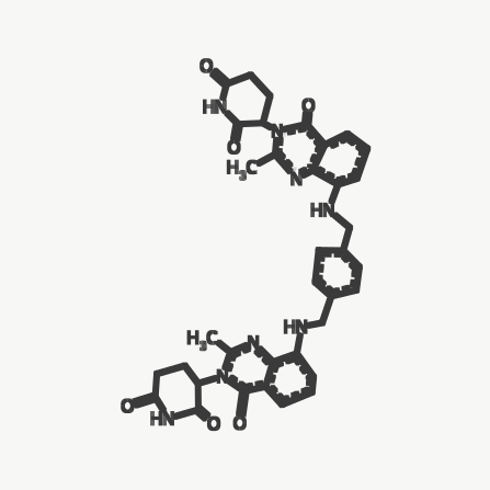 Cc1nc2c(NCc3ccc(CNc4cccc5c(=O)n(C6CCC(=O)NC6=O)c(C)nc45)cc3)cccc2c(=O)n1C1CCC(=O)NC1=O